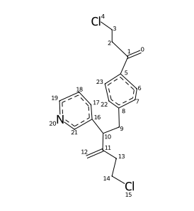 C=C(CCCl)c1ccc(CC(C(=C)CCCl)c2cccnc2)cc1